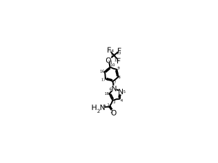 NC(=O)c1cnn(-c2ccc(OC(F)(F)F)cc2)c1